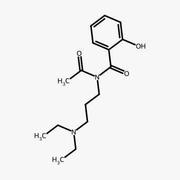 CCN(CC)CCCN(C(C)=O)C(=O)c1ccccc1O